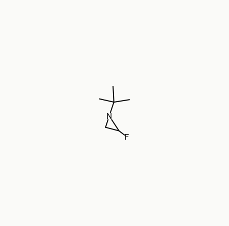 CC(C)(C)N1CC1F